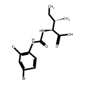 CC[C@H](C)[C@H](NC(=O)Nc1ccc(Br)cc1F)C(=O)O